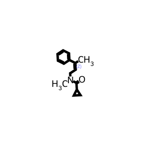 C/C(=C/CN(C)C(=O)C1CC1)c1ccccc1